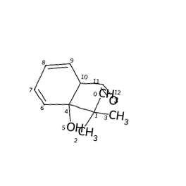 CC(C)(C)C1(O)C=CC=CC1C=O